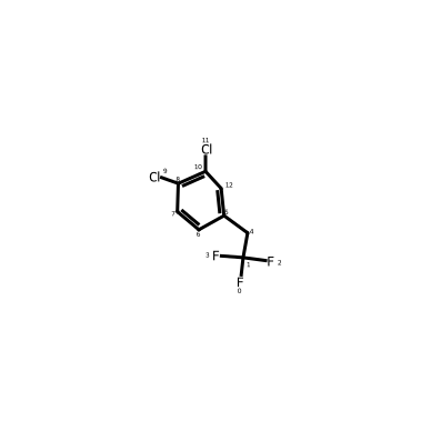 FC(F)(F)Cc1ccc(Cl)c(Cl)c1